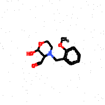 COc1ccccc1CN1CCOC(O)C1C=O